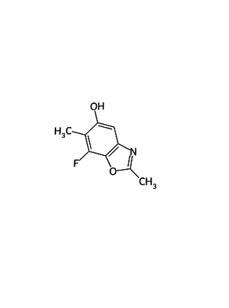 Cc1nc2cc(O)c(C)c(F)c2o1